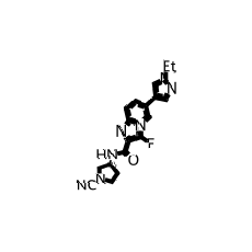 CCn1cc(-c2ccc3nc(C(=O)N[C@@H]4CCN(C#N)C4)c(F)n3c2)cn1